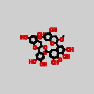 CO[C@@H]1Cc2c(O)cc(O)cc2O[C@@H]1c1cc(O)c(O)c2c(=O)c(O)cc(C(=O)O[C@@H]3Cc4c(O)cc(O)cc4O[C@@H]3c3ccc(O)c(O)c3)cc12